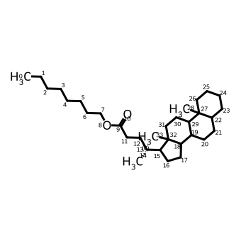 CCCCCCCCOC(=O)CC[C@@H](C)C1CCC2C3CCC4CCCCC4(C)C3CCC21C